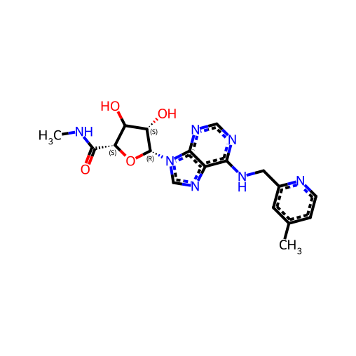 CNC(=O)[C@H]1O[C@@H](n2cnc3c(NCc4cc(C)ccn4)ncnc32)[C@@H](O)C1O